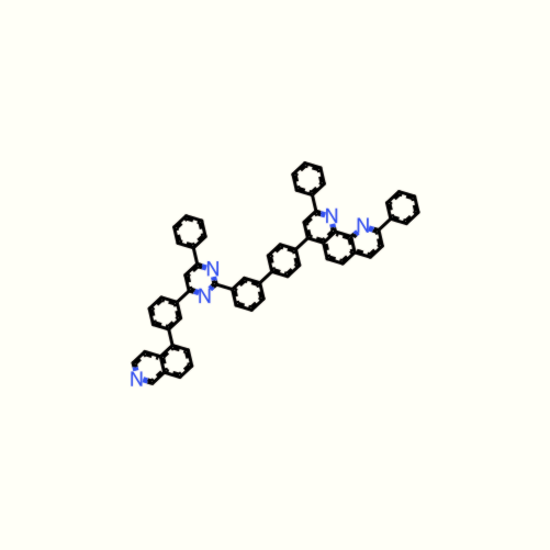 c1ccc(-c2cc(-c3cccc(-c4cccc5cnccc45)c3)nc(-c3cccc(-c4ccc(-c5cc(-c6ccccc6)nc6c5ccc5ccc(-c7ccccc7)nc56)cc4)c3)n2)cc1